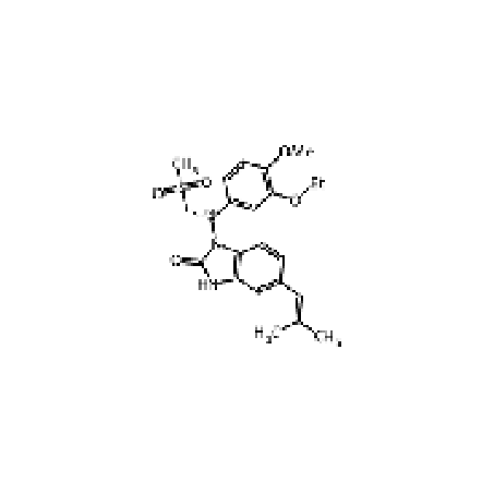 CCOc1cc([C@@H](CS(C)(=O)=O)n2c(=O)[nH]c3cc(C=C(C)C)ccc32)ccc1OC